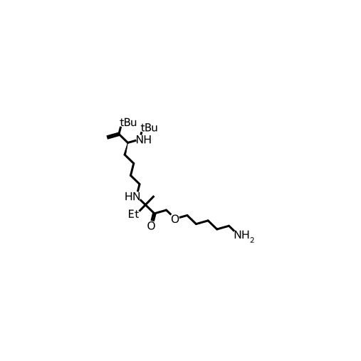 C=C([C@H](CCCCNC(C)(CC)C(=O)COCCCCCN)NC(C)(C)C)C(C)(C)C